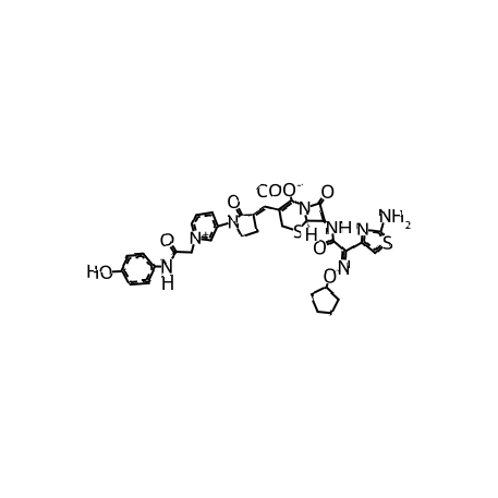 Nc1nc(/C(=N/OC2CCCC2)C(=O)N[C@@H]2C(=O)N3C(C(=O)[O-])=C(/C=C4\CCN(c5ccc[n+](CC(=O)Nc6ccc(O)cc6)c5)C4=O)CS[C@H]23)cs1